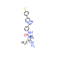 CC(C)(CN)CNC(=O)Nc1cccc(-c2cnc3cc(-c4ccc(F)cc4)ccn23)c1